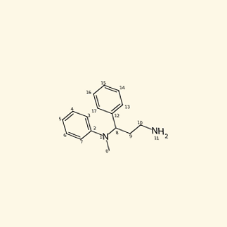 CN(c1ccccc1)C(CCN)c1ccccc1